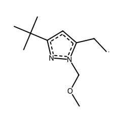 [CH2]Cc1cc(C(C)(C)C)nn1COC